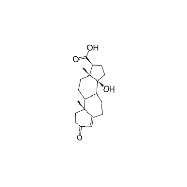 C[C@]12CCC(=O)C=C1CCC1C2CC[C@]2(C)[C@@H](C(=O)O)CC[C@]12O